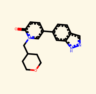 O=c1ccc(-c2ccc3cn[nH]c3c2)cn1CC1CCOCC1